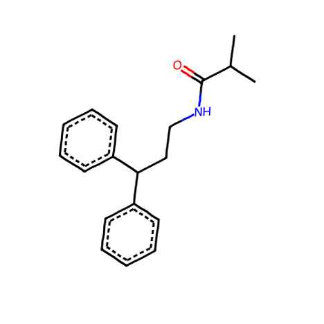 CC(C)C(=O)NCCC(c1ccccc1)c1ccccc1